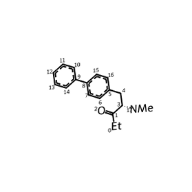 CCC(=O)[C@H](Cc1ccc(-c2ccccc2)cc1)NC